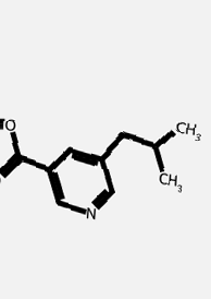 CC(C)Cc1cncc(C(=O)O)c1